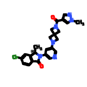 C[C@@H]1c2cc(Cl)ccc2C(=O)N1c1cncc(N2CC3(CN(C(=O)c4cnn(C)c4)C3)C2)c1